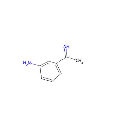 CC(=N)c1cccc(N)c1